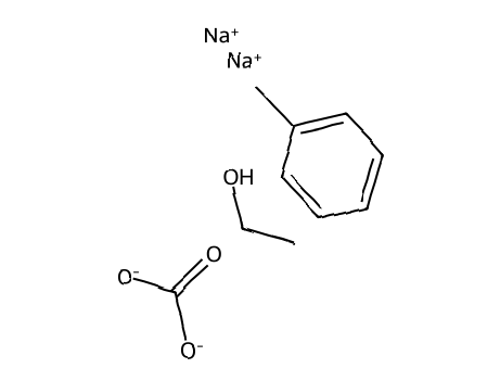 CCO.Cc1ccccc1.O=C([O-])[O-].[Na+].[Na+]